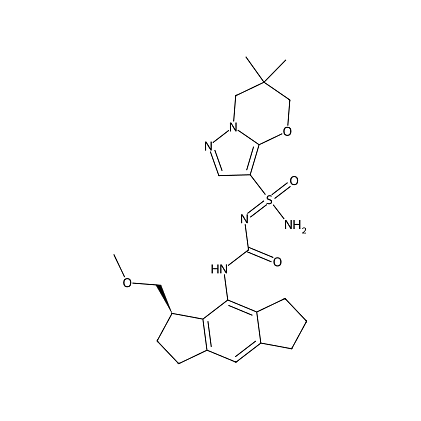 COC[C@@H]1CCc2cc3c(c(NC(=O)N=S(N)(=O)c4cnn5c4OCC(C)(C)C5)c21)CCC3